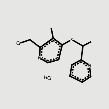 Cc1c(SC(C)c2ccccn2)ccnc1CCl.Cl